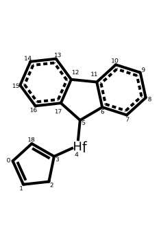 C1=CC[C]([Hf][CH]2c3ccccc3-c3ccccc32)=C1